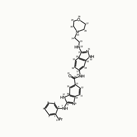 CC(C)c1ccccc1Nc1nc2ccc(C(=O)Nc3ccc4c(NCCN5CCOCC5)n[nH]c4c3)cc2[nH]1